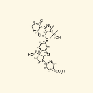 CC(C)(O)c1onc(-c2c(Cl)cccc2Cl)c1COc1ccc(C2(CO)CCN(c3ccc(C(=O)O)cn3)C2)c(Cl)c1